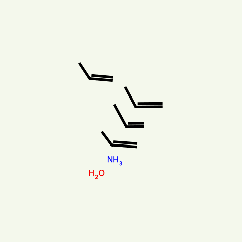 C=CC.C=CC.C=CC.C=CC.N.O